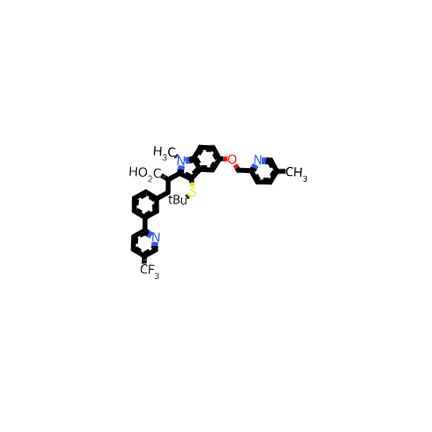 Cc1ccc(COc2ccc3c(c2)c(SC(C)(C)C)c(C(Cc2cccc(-c4ccc(C(F)(F)F)cn4)c2)C(=O)O)n3C)nc1